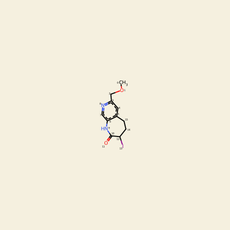 COCc1cc2c(cn1)NC(=O)C(I)CC2